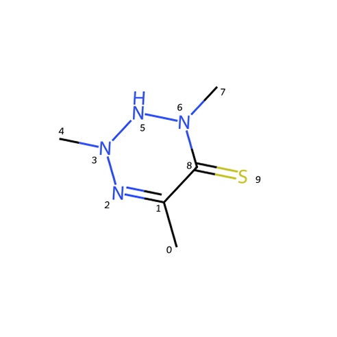 CC1=NN(C)NN(C)C1=S